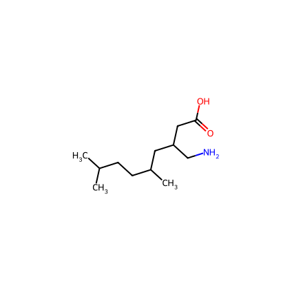 CC(C)CCC(C)CC(CN)CC(=O)O